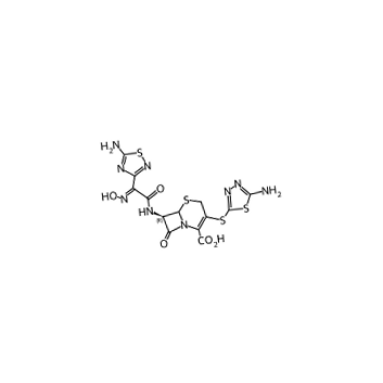 Nc1nc(C(=NO)C(=O)N[C@@H]2C(=O)N3C(C(=O)O)=C(Sc4nnc(N)s4)CSC23)ns1